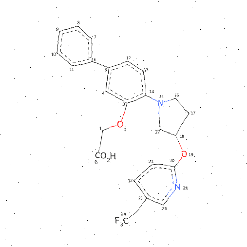 O=C(O)COc1cc(-c2ccccc2)ccc1N1CCC(Oc2ccc(C(F)(F)F)cn2)C1